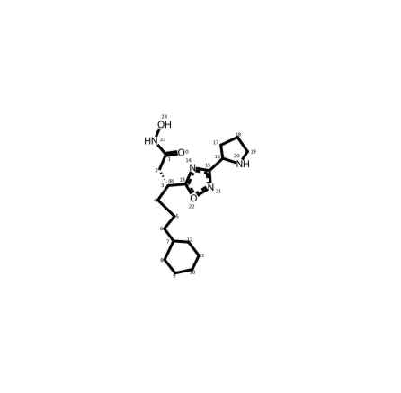 O=C(C[C@@H](CCCC1CCCCC1)c1nc(C2CCCN2)no1)NO